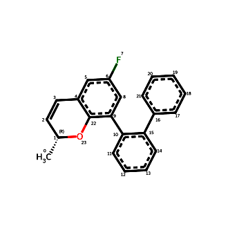 C[C@@H]1C=Cc2cc(F)cc(-c3ccccc3-c3ccccc3)c2O1